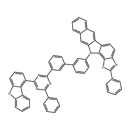 c1ccc(-c2nc(-c3cccc(-c4cccc(-n5c6cc7ccccc7cc6c6ccc7nc(-c8ccccc8)oc7c65)c4)c3)nc(-c3cccc4oc5ccccc5c34)n2)cc1